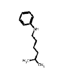 CC(C)CCCCNc1[c]cccc1